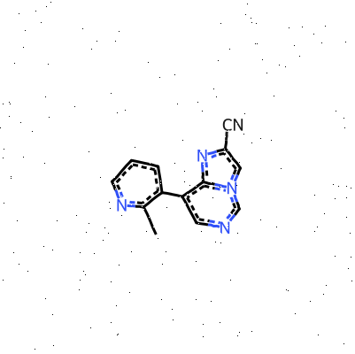 Cc1ncccc1-c1cncn2cc(C#N)nc12